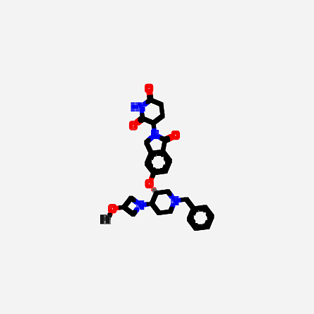 CCOC1CN([C@@H]2CCN(Cc3ccccc3)C[C@H]2Oc2ccc3c(c2)CN(C2CCC(=O)NC2=O)C3=O)C1